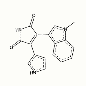 Cn1cc(C2=C(c3cc[nH]c3)C(=O)NC2=O)c2ccccc21